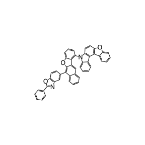 c1ccc(-c2nc3cc(-c4c5ccccc5cc5c4oc4cccc(-n6c7ccccc7c7c8c(ccc76)oc6ccccc68)c45)ccc3o2)cc1